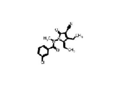 CC=C1C(CC)=C(C#N)C(=O)N1N(C)C(=O)c1cccc(Cl)c1